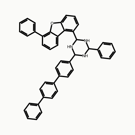 c1ccc(-c2ccc(-c3ccc(C4NC(c5ccccc5)NC(c5cccc6oc7c(-c8ccccc8)cccc7c56)N4)cc3)cc2)cc1